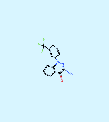 Nc1nn(C2C=CCC(C(F)(F)F)=C2)c2ccccc2c1=O